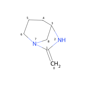 C=C1NC2CCCN1C2